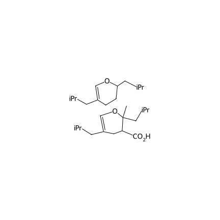 CC(C)CC1=COC(C)(CC(C)C)C(C(=O)O)C1.CC(C)CC1=COC(CC(C)C)CC1